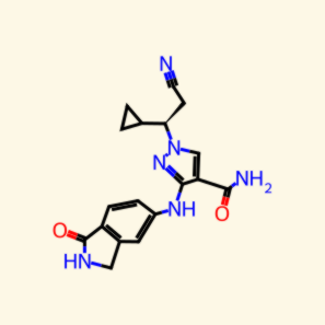 N#CC[C@H](C1CC1)n1cc(C(N)=O)c(Nc2ccc3c(c2)CNC3=O)n1